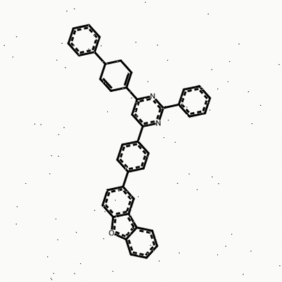 C1=CC(c2ccccc2)CC=C1c1cc(-c2ccc(-c3ccc4oc5ccccc5c4c3)cc2)nc(-c2ccccc2)n1